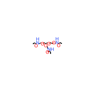 C=CC(=O)NCCOCC(COCCOCNC(=O)C=C)OCCNC(=O)C=C